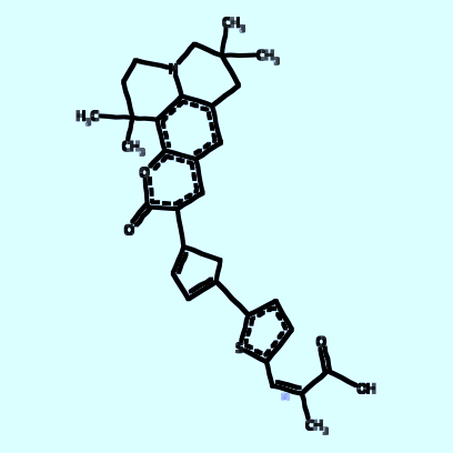 C/C(=C/c1ccc(C2=CC=C(c3cc4cc5c6c(c4oc3=O)C(C)(C)CCN6CC(C)(C)C5)C2)s1)C(=O)O